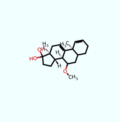 COC1CC2CCC=C[C@]2(C)C2=CC[C@@]3(C)[C@@H](CCC3(O)O)[C@@H]21